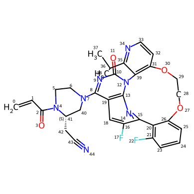 C=CC(=O)N1CCN(c2nc(=O)n3c4nc(c(F)cc24)-c2c(F)cccc2OCCOc2ccnc(C(C)C)c2-3)C[C@@H]1CC#N